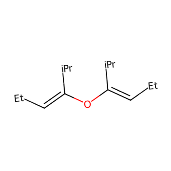 CC/C=C(/O/C(=C/CC)C(C)C)C(C)C